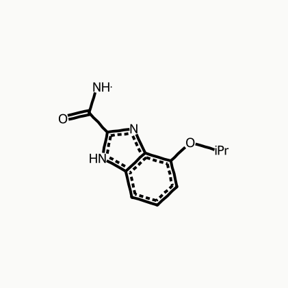 CC(C)Oc1cccc2[nH]c(C([NH])=O)nc12